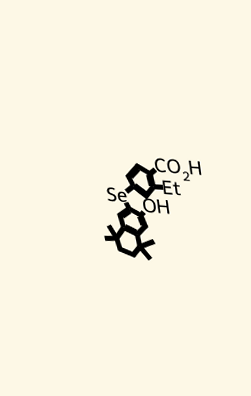 CCc1cc([Se]c2cc3c(cc2O)C(C)(C)CCC3(C)C)ccc1C(=O)O